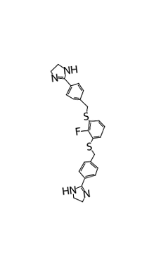 Fc1c(SCc2ccc(C3=NCCN3)cc2)cccc1SCc1ccc(C2=NCCN2)cc1